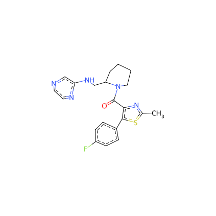 Cc1nc(C(=O)N2CCCCC2CNc2cnccn2)c(-c2ccc(F)cc2)s1